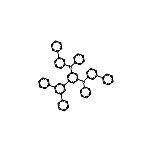 c1ccc(-c2cc(-c3ccccc3)cc(-c3cc(N(c4ccccc4)c4cccc(-c5ccccc5)c4)cc(N(c4ccccc4)c4cccc(-c5ccccc5)c4)c3)c2)cc1